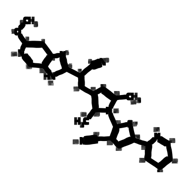 COc1cc2nc(C(C#N)=Cc3cc(C)n(-c4sc(-c5ccccn5)cc4C#N)c3C)[nH]c2cn1